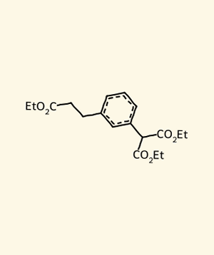 CCOC(=O)CCc1cccc(C(C(=O)OCC)C(=O)OCC)c1